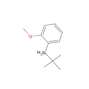 COc1ccccc1[SiH2]C(C)(C)C